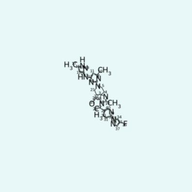 CC1=NC2(CCN(c3nc(C)cc(Nc4cc(C)[nH]n4)n3)CC2)C(C=O)N1C(C)c1ccc(-n2cc(F)cn2)nc1